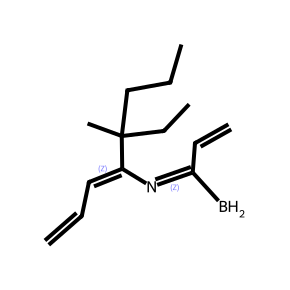 B/C(C=C)=N/C(=C\C=C)C(C)(CC)CCC